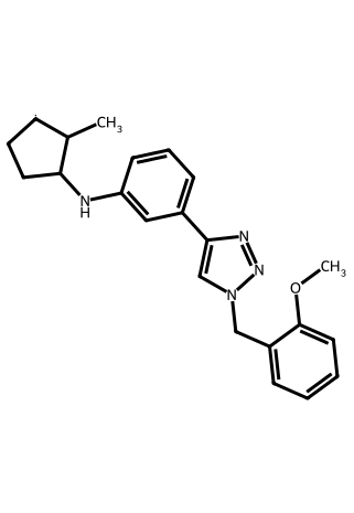 COc1ccccc1Cn1cc(-c2cccc(NC3CC[CH]C3C)c2)nn1